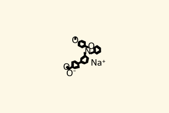 COc1ccc(C(=O)N(Cc2ccccc2)Cc2cccc(-c3ccc(C(=O)[O-])cc3)c2)cc1.[Na+]